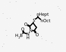 BC(=O)NN1C(=O)CC(SC(CCCCCCC)CCCCCCCC)C1=O